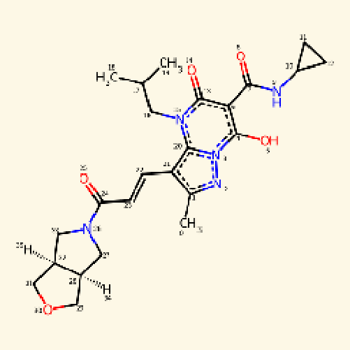 Cc1nn2c(O)c(C(=O)NC3CC3)c(=O)n(CC(C)C)c2c1/C=C/C(=O)N1C[C@H]2COC[C@H]2C1